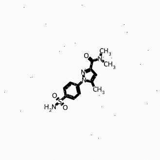 Cc1cc(C(=O)N(C)C)nn1-c1ccc(S(N)(=O)=O)cc1